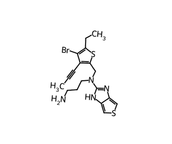 CC#Cc1c(CN(CCCN)c2nc3cscc3[nH]2)sc(CC)c1Br